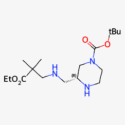 CCOC(=O)C(C)(C)CNC[C@@H]1CN(C(=O)OC(C)(C)C)CCN1